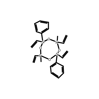 C=C[Si]1(C)O[Si](C=C)(c2ccccc2)O[Si](C)(C=C)O[Si](C=C)(c2ccccc2)O1